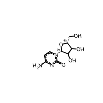 Nc1ccn([C@@H]2O[C@H](CO)C(O)C2O)c(=O)n1